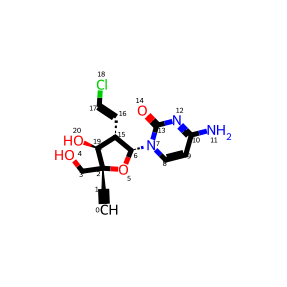 C#C[C@]1(CO)O[C@@H](n2ccc(N)nc2=O)[C@@H](/C=C/Cl)[C@@H]1O